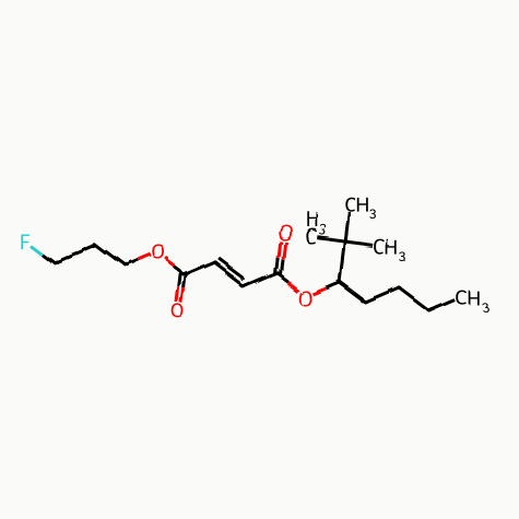 CCCCC(OC(=O)/C=C/C(=O)OCCCF)C(C)(C)C